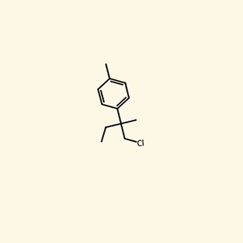 CCC(C)(CCl)c1ccc(C)cc1